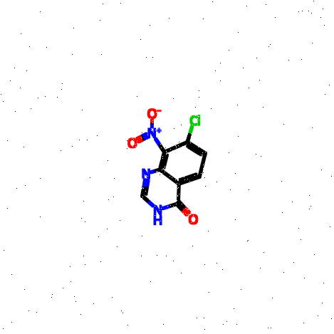 O=c1[nH]cnc2c([N+](=O)[O-])c(Cl)ccc12